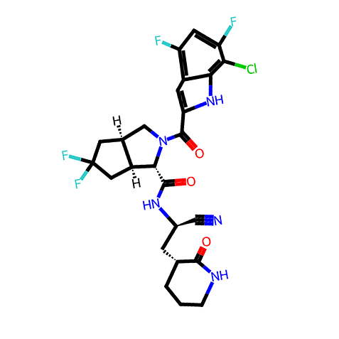 N#C[C@@H](C[C@H]1CCCNC1=O)NC(=O)[C@@H]1[C@H]2CC(F)(F)C[C@H]2CN1C(=O)c1cc2c(F)cc(F)c(Cl)c2[nH]1